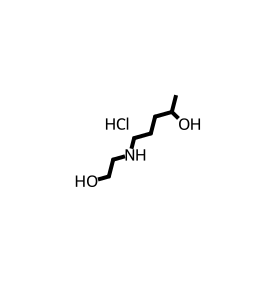 CC(O)CCCNCCO.Cl